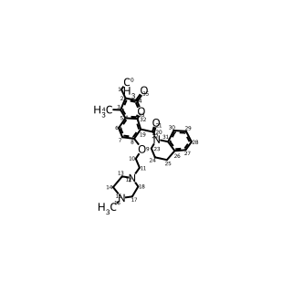 CCc1c(C)c2ccc(OCCN3CCN(C)CC3)c(C(=O)N3CCCc4ccccc43)c2oc1=O